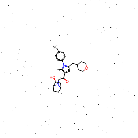 Cc1c(C(=O)CN2C3CCC2[C@@H](O)C3)cc(CC2CCOCC2)n1-c1ccc(C#N)cc1